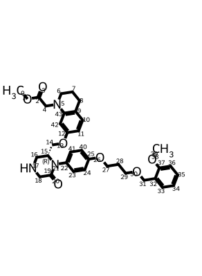 COC(=O)CN1CCCc2ccc(OC[C@H]3CNCC(=O)N3c3ccc(OCCCOCc4ccccc4OC)cc3)cc21